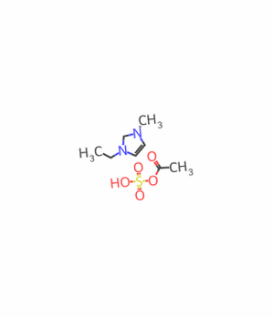 CC(=O)OS(=O)(=O)O.CCN1C=CN(C)C1